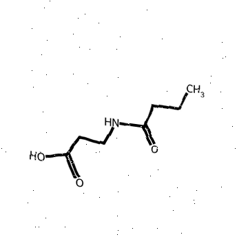 CCCC(=O)NCCC(=O)O